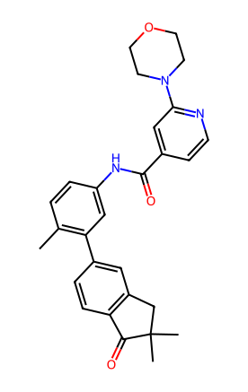 Cc1ccc(NC(=O)c2ccnc(N3CCOCC3)c2)cc1-c1ccc2c(c1)CC(C)(C)C2=O